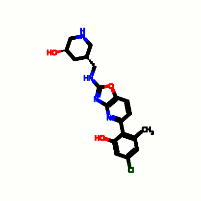 Cc1cc(Cl)cc(O)c1-c1ccc2oc(NC[C@H]3CNC[C@@H](O)C3)nc2n1